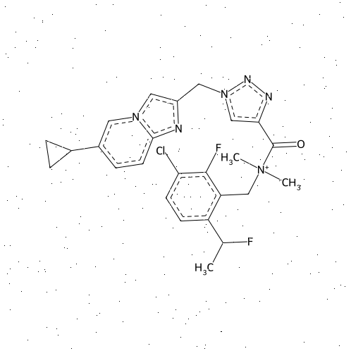 CC(F)c1ccc(Cl)c(F)c1C[N+](C)(C)C(=O)c1cn(Cc2cn3cc(C4CC4)ccc3n2)nn1